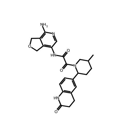 CC1CCC(c2ccc3c(c2)CCC(=O)N3)N(C(=O)C(=O)Nc2cnc(N)c3c2COC3)C1